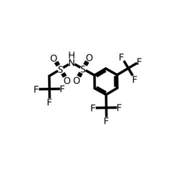 O=S(=O)(CC(F)(F)F)NS(=O)(=O)c1cc(C(F)(F)F)cc(C(F)(F)F)c1